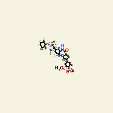 COc1cc(-c2ccc3c(c2)Nc2ccc(C(C)(C)C(=O)NCc4c(F)cccc4F)cc2NC3=O)ccc1[N+](=O)[O-]